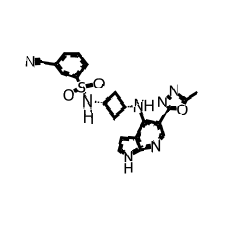 Cc1nnc(-c2cnc3[nH]ccc3c2N[C@H]2C[C@@H](NS(=O)(=O)c3cccc(C#N)c3)C2)o1